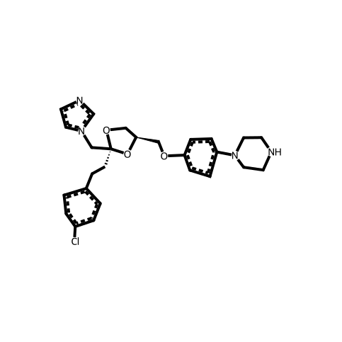 Clc1ccc(CC[C@]2(Cn3ccnc3)OC[C@@H](COc3ccc(N4CCNCC4)cc3)O2)cc1